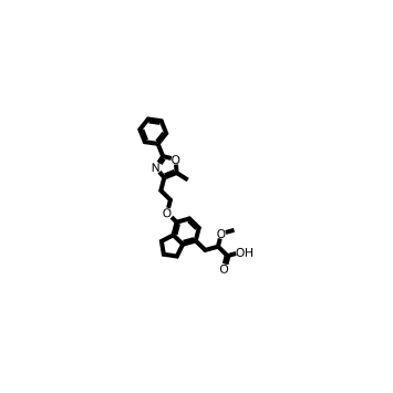 COC(Cc1ccc(OCCc2nc(-c3ccccc3)oc2C)c2c1CCC2)C(=O)O